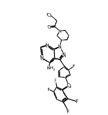 Nc1ncnc2c1c(-c1ccc(Oc3c(F)c(F)cc(F)c3F)cc1F)nn2C1CCCN(C(=O)CCl)C1